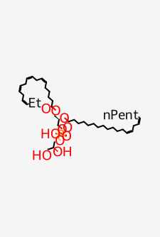 CC/C=C\C/C=C\C/C=C\C/C=C\CCCCC(=O)OC[C@H](COP(=O)(O)OC[C@@H](O)CO)OC(=O)CCCCCCCCCCC/C=C\C/C=C\CCCCC